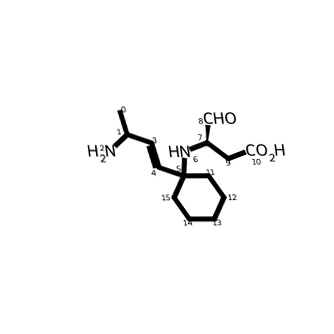 CC(N)C=CC1(N[C@@H](C=O)CC(=O)O)CCCCC1